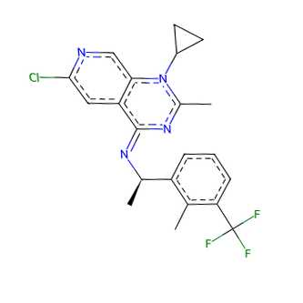 Cc1c([C@@H](C)/N=c2\nc(C)n(C3CC3)c3cnc(Cl)cc23)cccc1C(F)(F)F